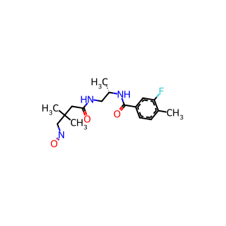 Cc1ccc(C(=O)N[C@@H](C)CNC(=O)CC(C)(C)CN=O)cc1F